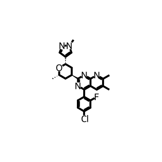 Cc1cc2c(-c3ccc(Cl)cc3F)nc([C@@H]3C[C@@H](c4cnn(C)c4)O[C@@H](C)C3)nc2nc1C